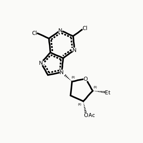 CC[C@H]1O[C@@H](n2cnc3c(Cl)nc(Cl)nc32)C[C@H]1OC(C)=O